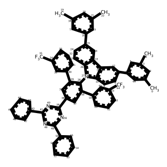 Cc1cc(C)cc(-c2ccc3c(c2)c2cc(-c4cc(C)cc(C)c4)ccc2n3-c2c(-c3cccc(C(F)(F)F)c3)cc(-c3nc(-c4ccccc4)nc(-c4ccccc4)n3)cc2-c2cccc(C(F)(F)F)c2)c1